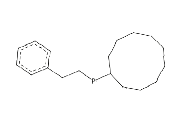 c1ccc(CC[P]C2CCCCCCCCC2)cc1